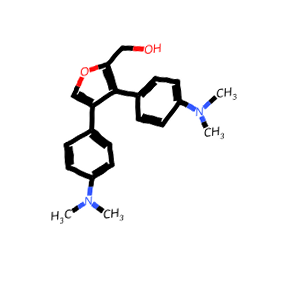 CN(C)c1ccc(-c2coc(CO)c2-c2ccc(N(C)C)cc2)cc1